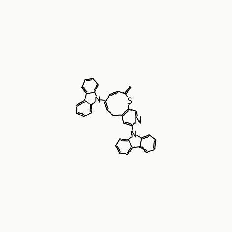 C=C1/C=C\C(n2c3ccccc3c3ccccc32)=C/Cc2cc(-n3c4ccccc4c4ccccc43)ncc2S1